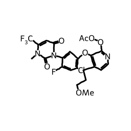 COCCCc1ccnc(OOC(C)=O)c1Oc1cc(-n2c(=O)cc(C(F)(F)F)n(C)c2=O)c(F)cc1Cl